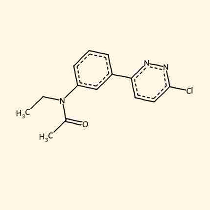 CCN(C(C)=O)c1cccc(-c2ccc(Cl)nn2)c1